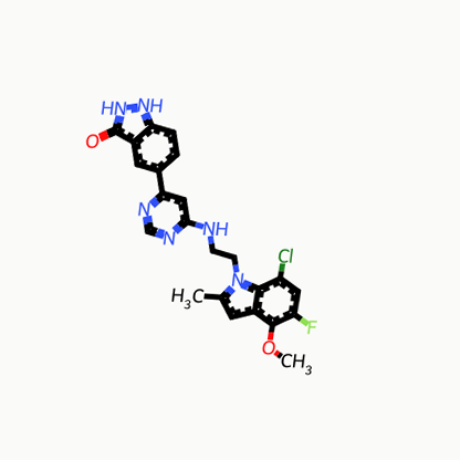 COc1c(F)cc(Cl)c2c1cc(C)n2CCNc1cc(-c2ccc3[nH][nH]c(=O)c3c2)ncn1